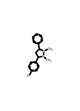 CN1C(c2ccccc2)CC(c2ccc(Cl)cc2)N1C